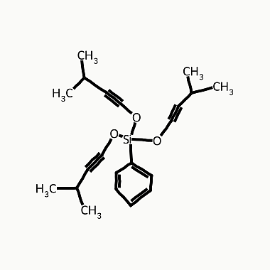 CC(C)C#CO[Si](OC#CC(C)C)(OC#CC(C)C)c1ccccc1